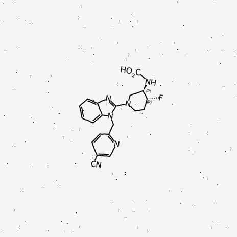 N#Cc1ccc(Cn2c(N3CC[C@@H](F)[C@H](NC(=O)O)C3)nc3ccccc32)nc1